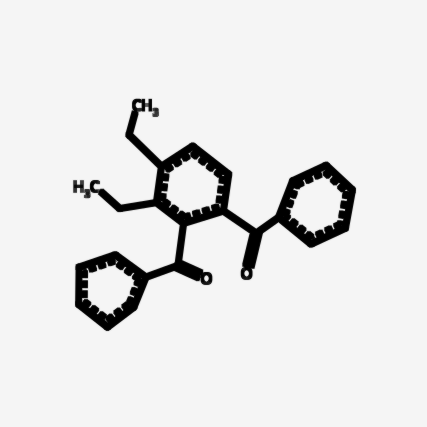 CCc1ccc(C(=O)c2ccccc2)c(C(=O)c2ccccc2)c1CC